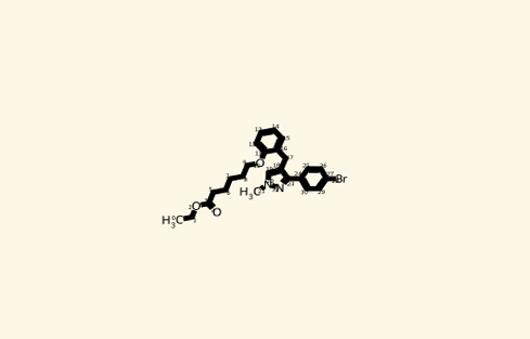 CCOC(=O)CCCCCOc1ccccc1Cc1cn(C)nc1-c1ccc(Br)cc1